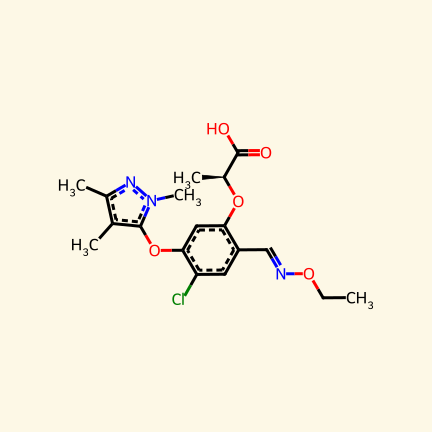 CCON=Cc1cc(Cl)c(Oc2c(C)c(C)nn2C)cc1O[C@@H](C)C(=O)O